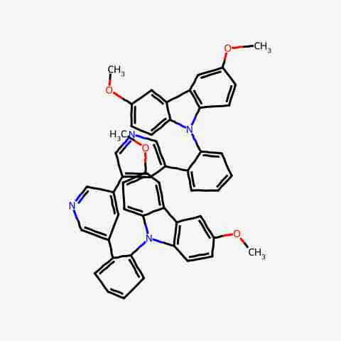 COc1ccc2c(c1)c1cc(OC)ccc1n2-c1ccccc1-c1cncc(-c2cncc(-c3ccccc3-n3c4ccc(OC)cc4c4cc(OC)ccc43)c2)c1